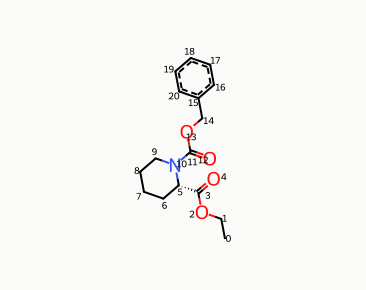 CCOC(=O)[C@@H]1CCCCN1C(=O)OCc1ccccc1